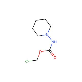 O=C(NN1CCCCC1)OCCl